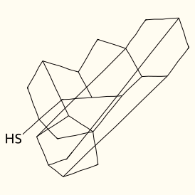 SC12CC3C4CC56CC7CC8C9CC(C1)(C3C85)C(C4C2)C6C9C7